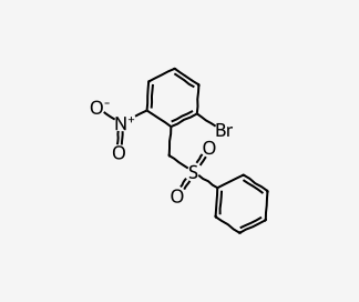 O=[N+]([O-])c1cccc(Br)c1CS(=O)(=O)c1ccccc1